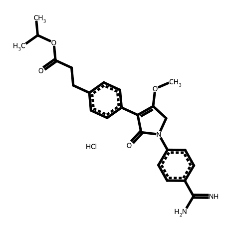 COC1=C(c2ccc(CCC(=O)OC(C)C)cc2)C(=O)N(c2ccc(C(=N)N)cc2)C1.Cl